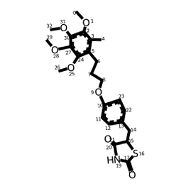 COc1c(C)c(CCCOc2ccc(CC3SC(=O)NC3=O)cc2)c(OC)c(OC)c1OC